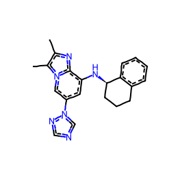 Cc1nc2c(N[C@@H]3CCCc4ccccc43)cc(-n3cncn3)cn2c1C